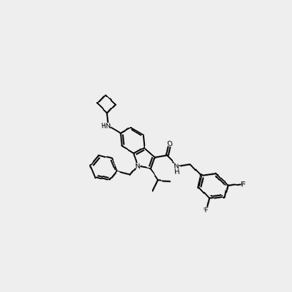 CC(C)c1c(C(=O)NCc2cc(F)cc(F)c2)c2ccc(NC3CCC3)cc2n1Cc1ccccc1